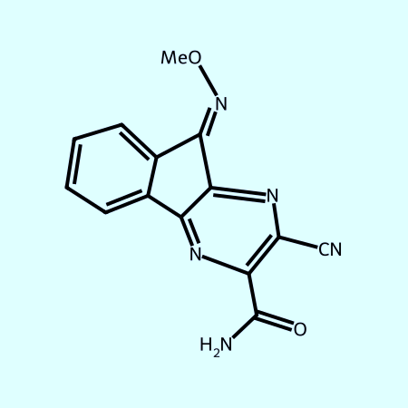 CO/N=C1\c2ccccc2-c2nc(C(N)=O)c(C#N)nc21